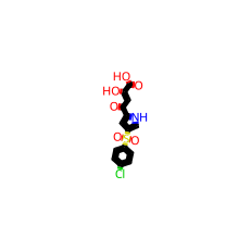 O=C(O)/C(O)=C/C(=O)c1cc(S(=O)(=O)c2ccc(Cl)cc2)c[nH]1